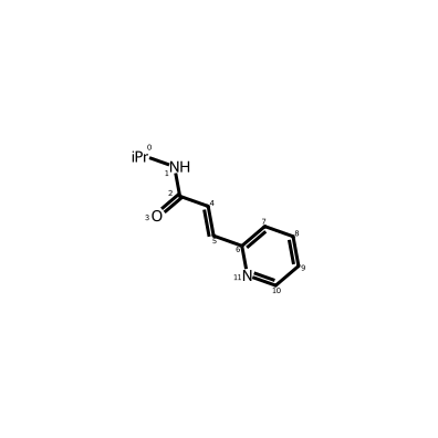 CC(C)NC(=O)/C=C/c1ccccn1